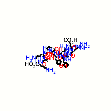 C[C@@H](O)[C@H](NC(=O)[C@H](CCCCN)NC(=O)[C@@H]1CCCN1C(=O)[C@@H](NC(=O)[C@H](Cc1ccc(O)cc1)NC(=O)[C@H](Cc1c[nH]cn1)NC(=O)[C@H](Cc1ccccc1)NC(=O)CNC(=O)[C@H](CCCNC(=N)N)NC(=O)[C@@H](N)CCC(=O)O)[C@@H](C)O)C(=O)N[C@@H](CCCCN)C(=O)O